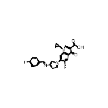 O=C(O)c1cn(C2CC2)c2cc(N3CCC(N=Cc4ccc(F)cc4)C3)c(F)cc2c1=O